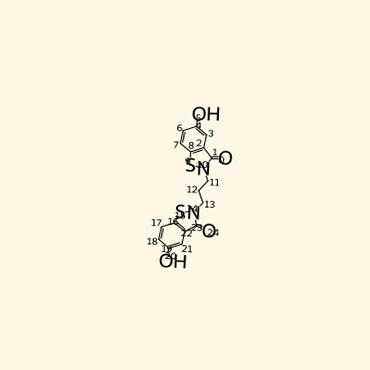 O=c1c2cc(O)ccc2sn1CCCn1sc2ccc(O)cc2c1=O